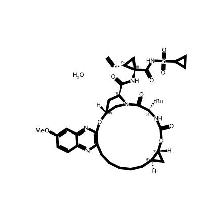 C=C[C@@H]1C[C@]1(NC(=O)[C@@H]1C[C@@H]2CN1C(=O)[C@H](C(C)(C)C)NC(=O)O[C@@H]1C[C@H]1CCCCCc1nc3ccc(OC)cc3nc1O2)C(=O)NS(=O)(=O)C1CC1.O